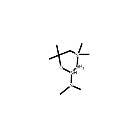 CN(C)[SiH]1OC(C)(C)C[Si](C)(C)[SiH2]1